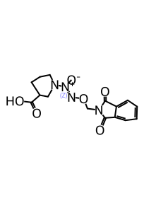 O=C(O)C1CCCN(/[N+]([O-])=N/OCN2C(=O)c3ccccc3C2=O)C1